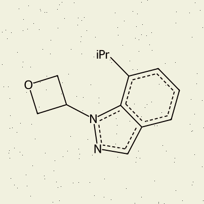 CC(C)c1cccc2cnn(C3COC3)c12